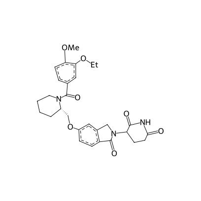 CCOc1cc(C(=O)N2CCCC[C@H]2COc2ccc3c(c2)CN(C2CCC(=O)NC2=O)C3=O)ccc1OC